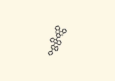 C1=CC2C(c3cc4c5c(c3)Sc3ccccc3B5c3ccccc3S4)=c3ccccc3=C(c3ccc(-c4ccccc4)c4ccccc34)C2C=C1